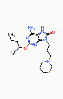 CCCC(C)Oc1nc(N)c2[nH]c(=O)n(CCCN3CCCCC3)c2n1